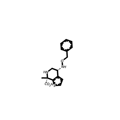 C[C@@]1(C(=O)O)NC[C@H](NOCc2ccccc2)c2ccsc21